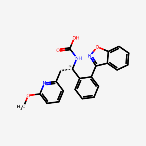 COc1cccc(C[C@H](NC(=O)O)c2ccccc2-c2noc3ccccc23)n1